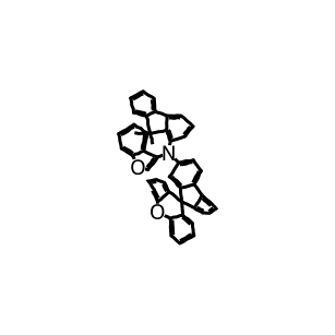 CC1(C)c2ccccc2-c2cccc(N(c3ccc4c(c3)C3(c5ccccc5Oc5ccccc53)c3ccccc3-4)c3coc4ccccc34)c21